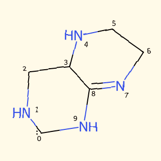 [C]1NCC2NCCN=C2N1